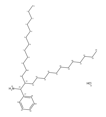 CCCCCCCCCCCCC(CCCCCCCCCCCC)C(N)c1ccccc1.Cl